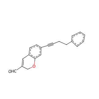 O=CC1=Cc2ccc(C#CCCc3ccccc3)cc2OC1